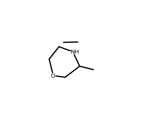 CC.CC1COCCN1